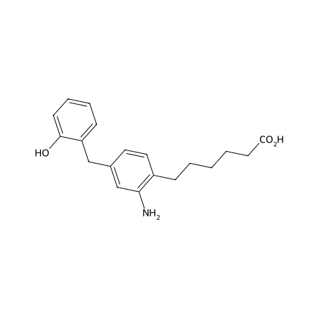 Nc1cc(Cc2ccccc2O)ccc1CCCCCC(=O)O